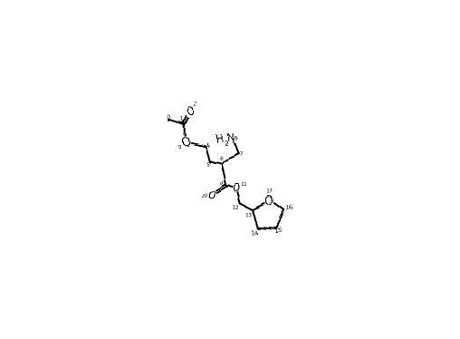 CC(=O)OCCC(CN)C(=O)OCC1CCCO1